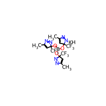 CC1=CC(OB(OC2(C(F)(F)F)C=C(C)N=N2)OC2(C(F)(F)F)C=C(C)N=N2)(C(F)(F)F)N=N1.[KH]